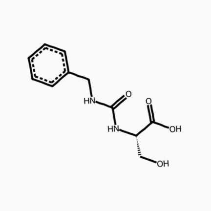 O=C(NCc1ccccc1)N[C@@H](CO)C(=O)O